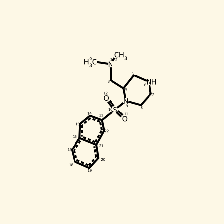 CN(C)CC1CNCCN1S(=O)(=O)c1ccc2ccccc2c1